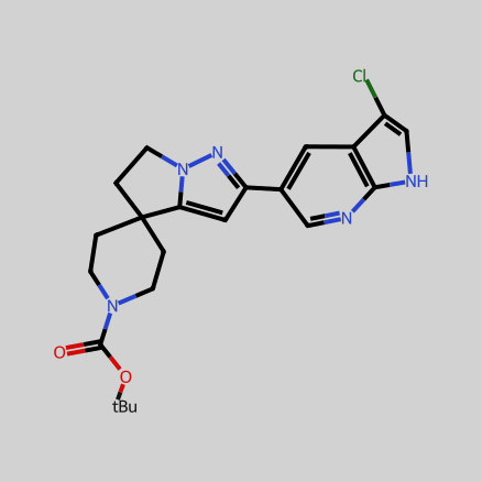 CC(C)(C)OC(=O)N1CCC2(CC1)CCn1nc(-c3cnc4[nH]cc(Cl)c4c3)cc12